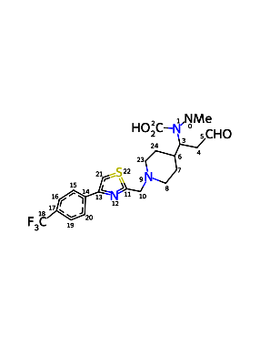 CNN(C(=O)O)C(CC=O)C1CCN(Cc2nc(-c3ccc(C(F)(F)F)cc3)cs2)CC1